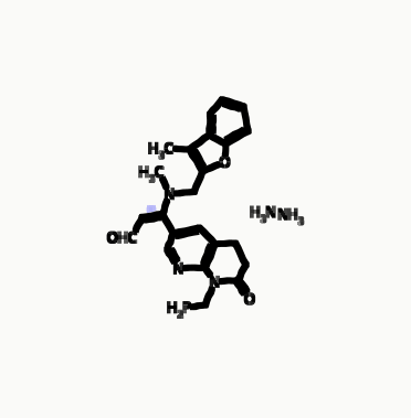 Cc1c(CN(C)/C(=C/C=O)c2cnc3c(c2)CCC(=O)N3CP)oc2ccccc12.N.N